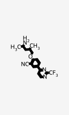 CC(N)CC(C)COc1ccc(-c2ccnc(C(F)(F)F)n2)cc1C#N